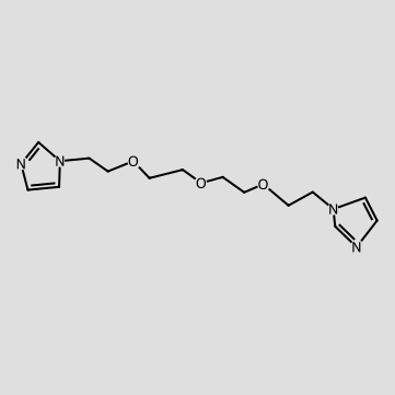 c1cn(CCOCCOCCOCCn2ccnc2)cn1